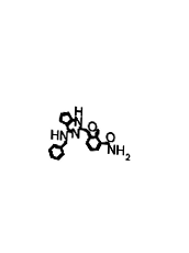 NC(=O)c1cccc2c(C3N=C(NCc4ccccc4)C4=C(C=CC4)N3)occ12